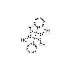 OOC(OO)(c1ccccc1)C(OO)(OO)c1ccccc1